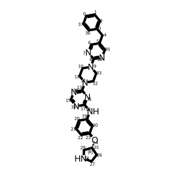 c1ccc(Cc2cnc(N3CCN(c4ncnc(Nc5cccc(O[C@@H]6CCNC6)c5)n4)CC3)nc2)cc1